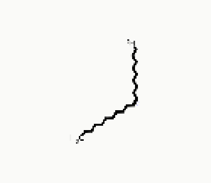 [2H]CCCCCCCC/C=C\CCCCCCCCCC